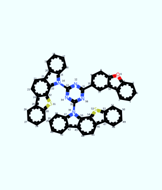 c1ccc2c(c1)oc1ccc(-c3nc(-n4c5ccccc5c5ccc6c7ccccc7sc6c54)nc(-n4c5ccccc5c5ccc6c7ccccc7sc6c54)n3)cc12